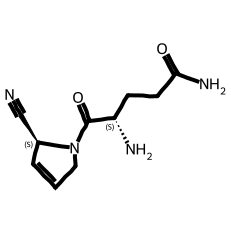 N#C[C@@H]1C=CCN1C(=O)[C@@H](N)CCC(N)=O